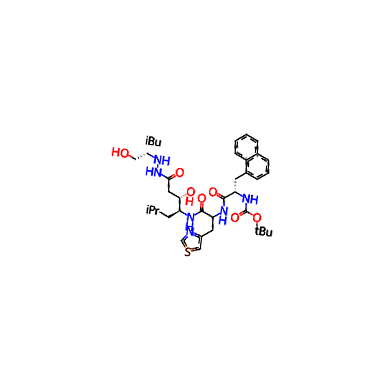 CC[C@H](C)[C@@H](CO)NNC(=O)C[C@H](O)[C@H](CC(C)C)NC(=O)C(Cc1cscn1)NC(=O)[C@H](Cc1cccc2ccccc12)NC(=O)OC(C)(C)C